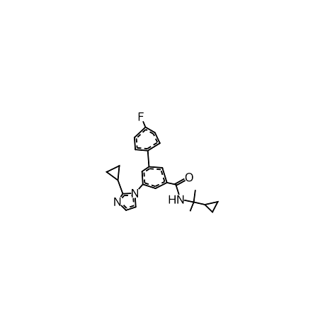 CC(C)(NC(=O)c1cc(-c2ccc(F)cc2)cc(-n2ccnc2C2CC2)c1)C1CC1